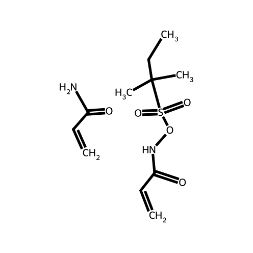 C=CC(=O)NOS(=O)(=O)C(C)(C)CC.C=CC(N)=O